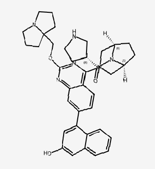 O=C([C@@H]1CCNC1)N1[C@@H]2CC[C@H]1CN(c1nc(OCC34CCCN3CCC4)nc3cc(-c4cc(O)cc5ccccc45)ccc13)C2